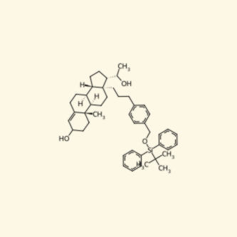 CC(O)[C@H]1CC[C@H]2[C@@H]3CCC4=CC(O)CC[C@@]4(C)[C@@H]3CC[C@]12CCCc1ccc(CO[Si](c2ccccc2)(c2ccccc2)C(C)(C)C)cc1